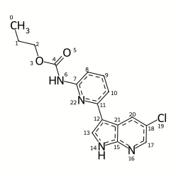 CCCOC(=O)Nc1cccc(-c2c[nH]c3ncc(Cl)cc23)n1